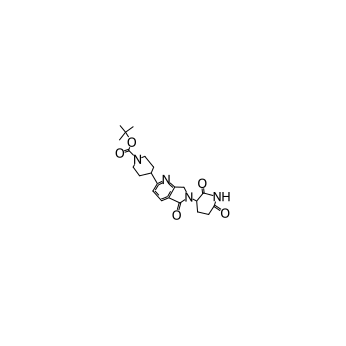 CC(C)(C)OC(=O)N1CCC(c2ccc3c(n2)CN(C2CCC(=O)NC2=O)C3=O)CC1